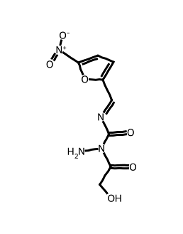 NN(C(=O)CO)C(=O)N=Cc1ccc([N+](=O)[O-])o1